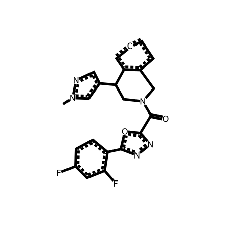 Cn1cc(C2CN(C(=O)c3nnc(-c4ccc(F)cc4F)o3)Cc3ccccc32)cn1